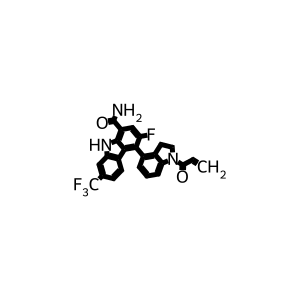 C=CC(=O)N1CCc2c(-c3c(F)cc(C(N)=O)c4[nH]c5cc(C(F)(F)F)ccc5c34)cccc21